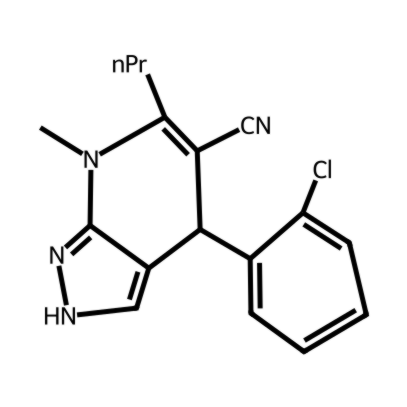 CCCC1=C(C#N)C(c2ccccc2Cl)c2c[nH]nc2N1C